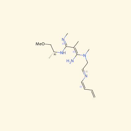 C=C/C=C\N=C\CN(C)/C(N)=C(C)/C(=N\C)N[C@H](C)COC